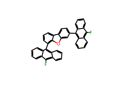 Fc1c2ccccc2c(-c2ccc3c(c2)oc2c(-c4c5ccccc5c(F)c5ccccc45)cccc23)c2ccccc12